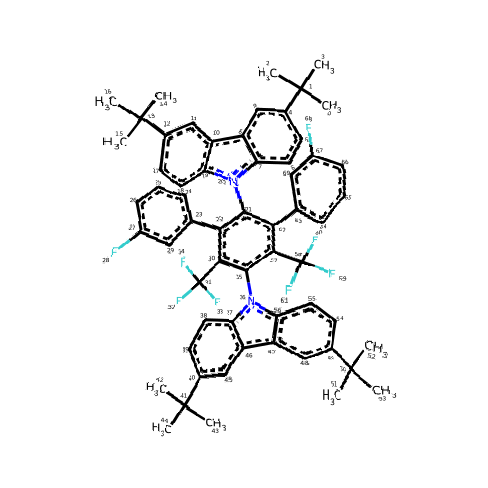 CC(C)(C)c1ccc2c(c1)c1cc(C(C)(C)C)ccc1n2-c1c(-c2cccc(F)c2)c(C(F)(F)F)c(-n2c3ccc(C(C)(C)C)cc3c3cc(C(C)(C)C)ccc32)c(C(F)(F)F)c1-c1cccc(F)c1